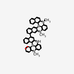 CN1c2cc3c(-c4cc5c(c6ccccc46)B4c6c(cccc6N(C)c6ccc7ccccc7c64)N5)cccc3cc2B2c3c1cccc3N(C)c1ccc3ccccc3c12